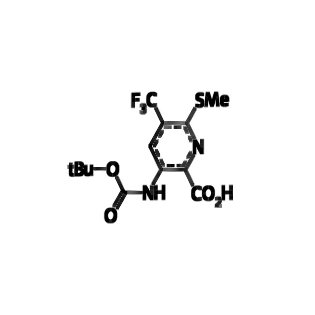 CSc1nc(C(=O)O)c(NC(=O)OC(C)(C)C)cc1C(F)(F)F